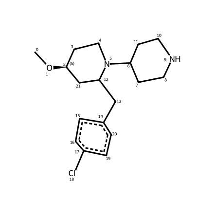 CO[C@H]1CCN(C2CCNCC2)C(Cc2ccc(Cl)cc2)C1